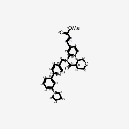 COC(=O)/C=C/c1ccnc(N(Cc2ccc(-c3cccc(N4CCCC4)c3)nc2)C(=O)C2CCOCC2)c1